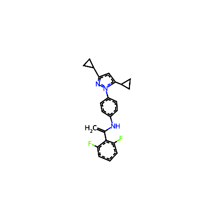 C=C(Nc1ccc(-n2nc(C3CC3)cc2C2CC2)cc1)c1c(F)cccc1F